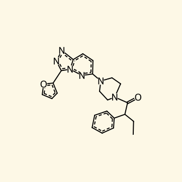 CCC(C(=O)N1CCN(c2ccc3nnc(-c4ccco4)n3n2)CC1)c1ccccc1